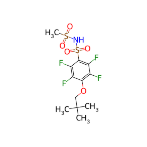 CC(C)(C)COc1c(F)c(F)c(S(=O)(=O)NS(C)(=O)=O)c(F)c1F